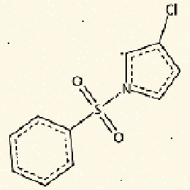 O=S(=O)(c1ccccc1)n1[c]c(Cl)cc1